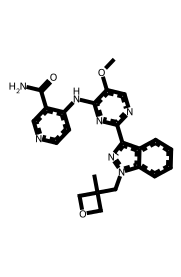 COc1cnc(-c2nn(CC3(C)COC3)c3ccccc23)nc1Nc1ccncc1C(N)=O